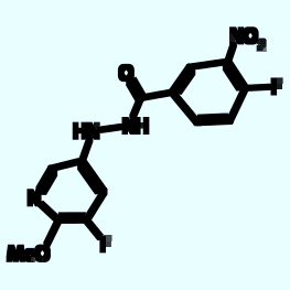 COc1ncc(NNC(=O)c2ccc(F)c([N+](=O)[O-])c2)cc1F